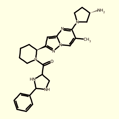 Cc1cn2nc([C@@H]3CCCCN3C(=O)C3CNC(c4ccccc4)N3)cc2nc1N1CC[C@H](N)C1